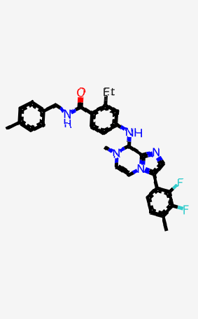 CCc1cc(NC2c3ncc(-c4ccc(C)c(F)c4F)n3C=CN2C)ccc1C(=O)NCc1ccc(C)cc1